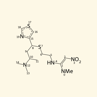 CNC(=C[N+](=O)[O-])NCCSC(CC(C)N(C)C)c1cscn1